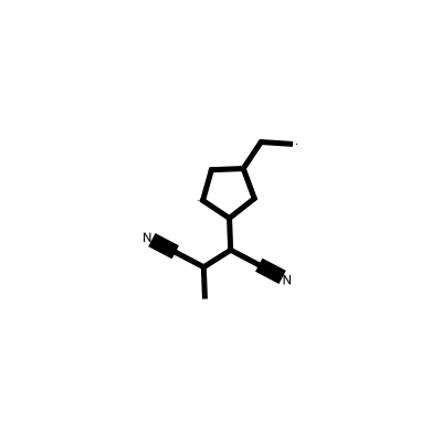 [CH2]CC1C[CH]C(C(C#N)C(C)C#N)C1